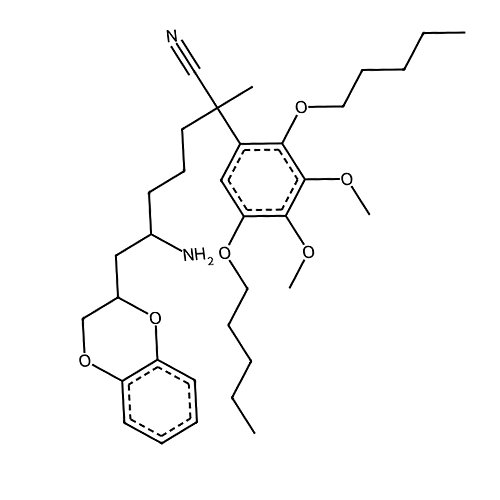 CCCCCOc1cc(C(C)(C#N)CCCC(N)CC2COc3ccccc3O2)c(OCCCCC)c(OC)c1OC